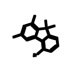 Cc1cc(C)c2c(c1)-c1c(Br)cccc1C2(C)C